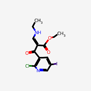 CCNC=C(C(=O)OCC)C(=O)c1cc(I)cnc1Cl